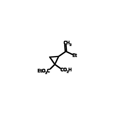 C=C(CC)C1CC1(C(=O)O)C(=O)OCC